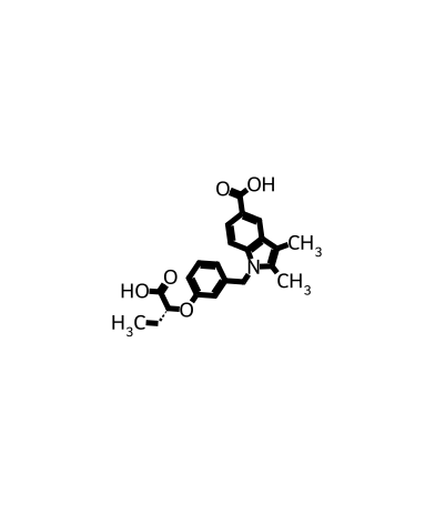 CC[C@@H](Oc1cccc(Cn2c(C)c(C)c3cc(C(=O)O)ccc32)c1)C(=O)O